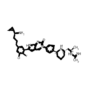 CC(=N)N[C@H](C)C[C@@H]1CCC[C@@H](c2ccc(-n3cc4cc(-c5cc(CCCC(N)C6CC6)cc(Cl)c5F)[nH]c4nc3=O)cc2)N1